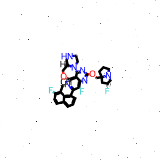 C#Cc1c(F)ccc2cccc(-c3nc4c5c(nc(OCC67CCCN6C[C@H](F)C7)nc5c3F)N3CCNC[C@H]3CO4)c12